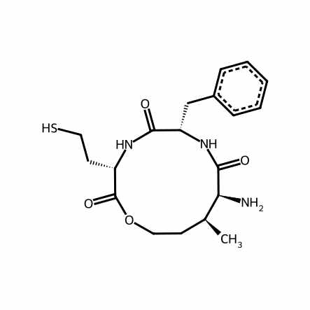 C[C@H]1CCOC(=O)[C@H](CCS)NC(=O)[C@H](Cc2ccccc2)NC(=O)[C@H]1N